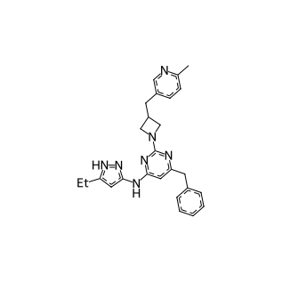 CCc1cc(Nc2cc(Cc3ccccc3)nc(N3CC(Cc4ccc(C)nc4)C3)n2)n[nH]1